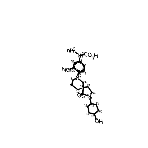 CCCN(C(=O)O)c1ccc(N2CCC[C@]3(CCN(C4CCC(O)CC4)C3=O)C2)c(C#N)c1